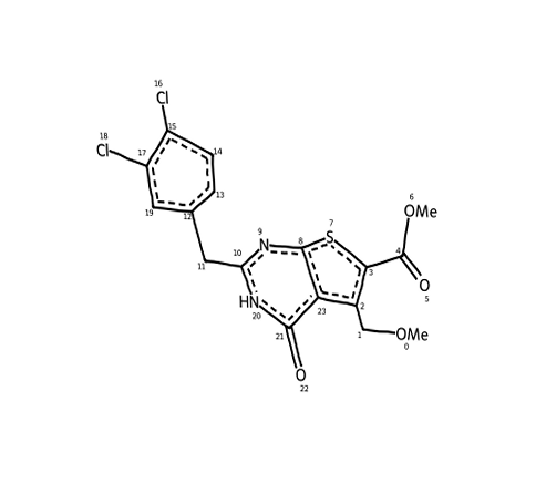 COCc1c(C(=O)OC)sc2nc(Cc3ccc(Cl)c(Cl)c3)[nH]c(=O)c12